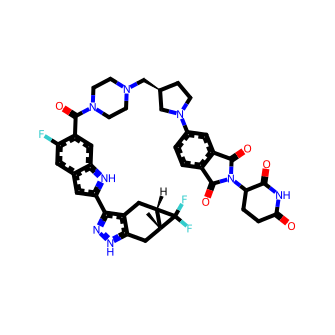 C[C@@]12Cc3[nH]nc(-c4cc5cc(F)c(C(=O)N6CCN(C[C@H]7CCN(c8ccc9c(c8)C(=O)N(C8CCC(=O)NC8=O)C9=O)C7)CC6)cc5[nH]4)c3C[C@@H]1C2(F)F